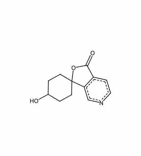 O=C1OC2(CCC(O)CC2)c2cnccc21